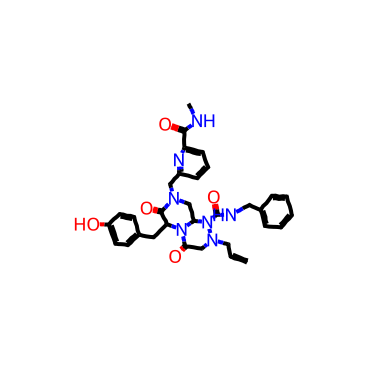 C=CCN1CC(=O)N2C(Cc3ccc(O)cc3)C(=O)N(Cc3cccc(C(=O)NC)n3)CC2N1C(=O)NCc1ccccc1